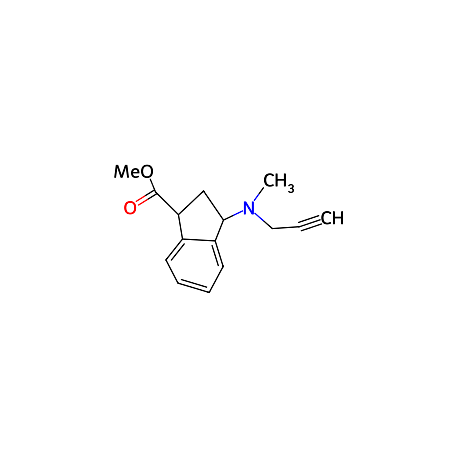 C#CCN(C)C1CC(C(=O)OC)c2ccccc21